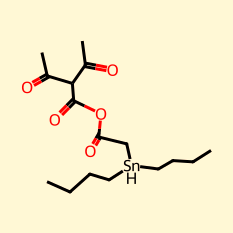 CCC[CH2][SnH]([CH2]CCC)[CH2]C(=O)OC(=O)C(C(C)=O)C(C)=O